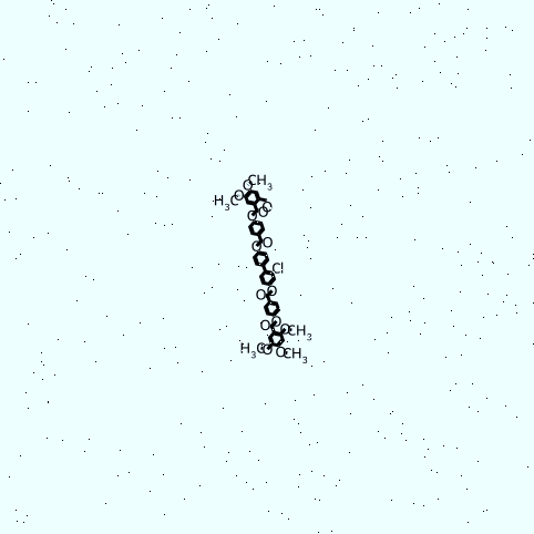 COc1cc(C=O)c(C(=O)Oc2ccc(C(=O)Oc3ccc(-c4ccc(OC(=O)c5ccc(OC(=O)c6cc(OC)c(OC)cc6OC)cc5)cc4Cl)cc3)cc2)cc1OC